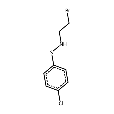 Clc1ccc(SNCCBr)cc1